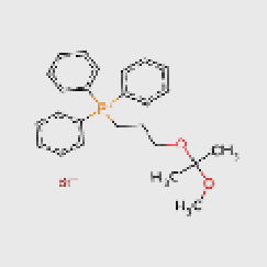 COC(C)(C)OCCC[P+](c1ccccc1)(c1ccccc1)c1ccccc1.[Br-]